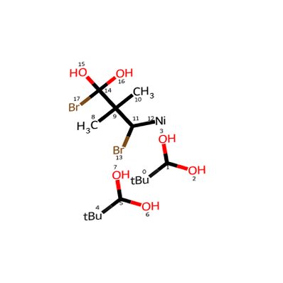 CC(C)(C)C(O)O.CC(C)(C)C(O)O.CC(C)([CH]([Ni])Br)C(O)(O)Br